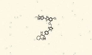 COc1cc(OCc2csc(-c3ccc(C(=O)NC4CCCC[C@H]4O)cc3)n2)c2sc(-c3cn4nc(C)sc4n3)nc2c1